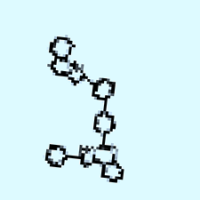 c1ccc(-c2cc3c4ccccc4nc(-c4ccc(-c5cccc(-c6cc7ccc8ccccc8n7n6)c5)cc4)n3n2)cc1